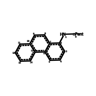 CCCCCNc1cccc2c1ccc1ccccc12